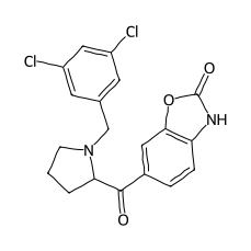 O=C(c1ccc2[nH]c(=O)oc2c1)C1CCCN1Cc1cc(Cl)cc(Cl)c1